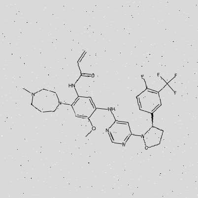 C=CC(=O)Nc1cc(Nc2cc(N3OCC[C@@H]3c3ccc(F)c(C(F)(F)F)c3)ncn2)c(OC)cc1N1CCCN(C)CC1